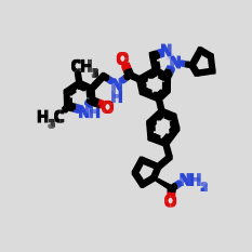 Cc1cc(C)c(CNC(=O)c2cc(-c3ccc(CC4CCC[C@@H]4C(N)=O)cc3)cc3c2cnn3C2CCCC2)c(=O)[nH]1